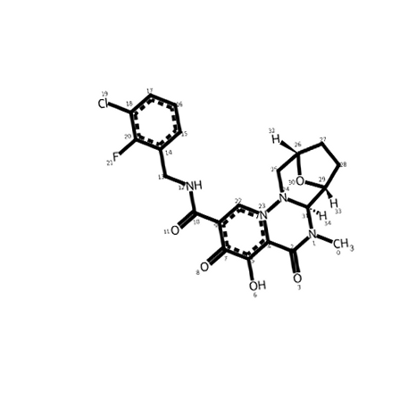 CN1C(=O)c2c(O)c(=O)c(C(=O)NCc3cccc(Cl)c3F)cn2N2C[C@@H]3CC[C@@H](O3)[C@@H]12